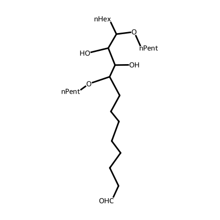 CCCCCCC(OCCCCC)C(O)C(O)C(CCCCCCCC=O)OCCCCC